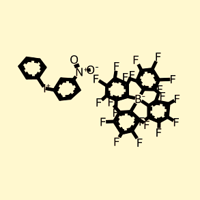 Fc1c(F)c(F)c([B-](c2c(F)c(F)c(F)c(F)c2F)(c2c(F)c(F)c(F)c(F)c2F)c2c(F)c(F)c(F)c(F)c2F)c(F)c1F.O=[N+]([O-])c1cccc([I+]c2ccccc2)c1